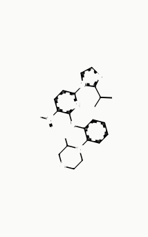 CC(C)c1nccn1-c1ccc([N+](=O)[O-])c(Nc2ccccc2N2CCOCC2F)n1